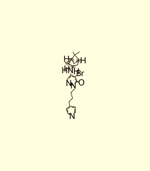 C[C@H]1[C@H]2C[C@H](C[C@H]1Nc1cnn(CCCCc3ccncc3)c(=O)c1Br)C2(C)C